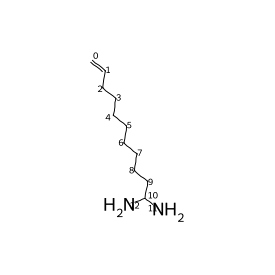 C=CCCCCCCCCC(N)N